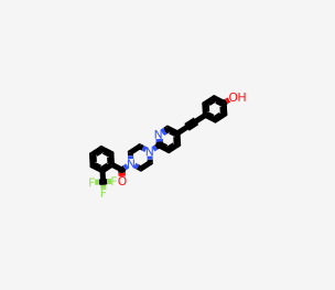 O=C(c1ccccc1C(F)(F)F)N1CCN(c2ccc(C#Cc3ccc(O)cc3)cn2)CC1